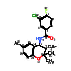 CC(=O)O[C@H]1[C@H](NC(=O)c2ccc(F)c(Cl)c2)c2cc(C(C)=O)ccc2OC1(C)C